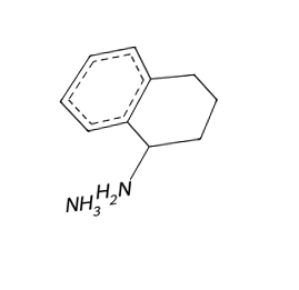 N.NC1CCCc2ccccc21